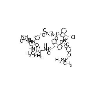 CC(C)[C@H](NCCNC(=O)OCC1c2ccccc2-c2ccccc21)C(=O)N[C@@H](CCCNC(N)=O)C(=O)Nc1ccc(COC(=O)N2CCN(C(=O)Oc3cc4c(c5ccccc35)[C@H](CCl)CN4C(=O)c3cc4cc(OCCN(C)C)ccc4o3)CC2)cc1